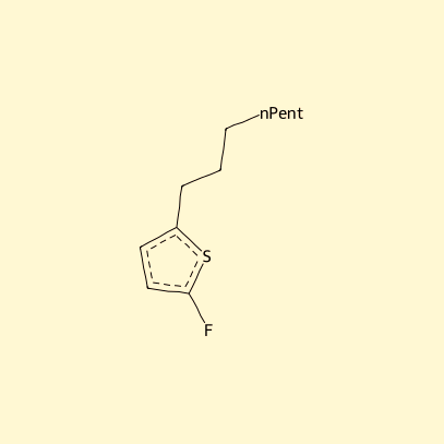 CCCCCCCCc1ccc(F)s1